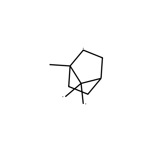 [CH2]C1([CH2])C2C[CH]C1(C)CC2